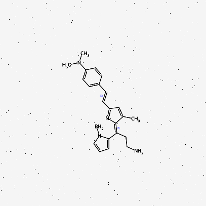 Bn1cccc1/C(CCN)=C1N=C(/C=C/c2ccc(N(C)C)cc2)C=C\1C